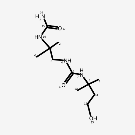 CC(C)(CNC(=O)NC(C)(C)CCO)NC(N)=O